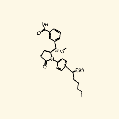 CCCCCC(O)c1ccc(N2C(=O)CCC2[C@@H](OC)c2cccc(C(=O)O)c2)cc1